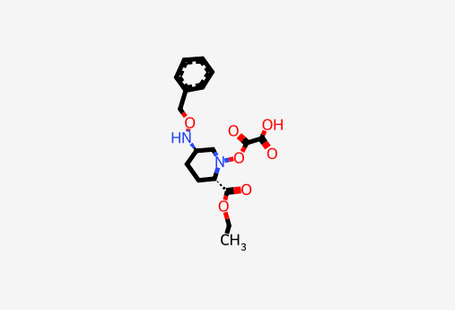 CCOC(=O)[C@@H]1CC[C@@H](NOCc2ccccc2)CN1OC(=O)C(=O)O